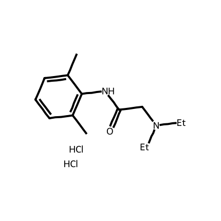 CCN(CC)CC(=O)Nc1c(C)cccc1C.Cl.Cl